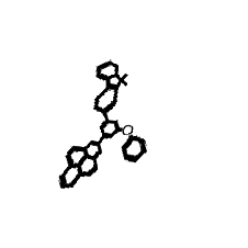 CC1(C)C2=C(CCC(C3=CC(c4cc5ccc6cccc7ccc(c4)c5c67)=CC(OC4=CC=CCC4)C3)=C2)C2=CC=CCC21